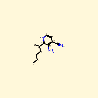 CCCCC(C)c1nccc(C#N)c1N